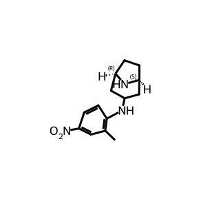 Cc1cc([N+](=O)[O-])ccc1NC1C[C@H]2CC[C@@H](C1)N2